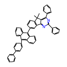 CC1(C)c2ccc(-c3c4ccccc4c(-c4ccc(-c5ccccc5)cc4)c4ccccc34)cc2-c2nc(-c3ccccc3)nc(-c3ccccc3)c21